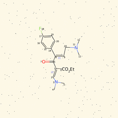 CCOC(=O)/C(=C\N(C)C)C(=O)/C(=C/CN(C)C)c1ccc(F)cc1